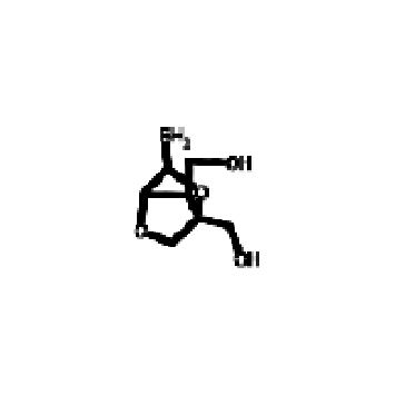 BC1OC2(CO)COC1C2CO